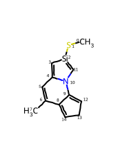 CS[si]1cc2cc(C)c3c(n2c1)=CCC=3